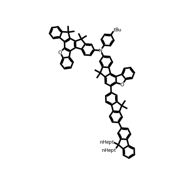 CCCCCCCC1(CCCCCCC)c2ccccc2-c2ccc(-c3ccc4c(c3)C(C)(C)c3cc(-c5cc6c(c7c5oc5ccccc57)-c5ccc(N(c7ccc(C(C)(C)C)cc7)c7ccc8c(c7)C(C)(C)c7c9c(c%10oc%11ccccc%11c%10c7-8)-c7ccccc7C9(C)C)cc5C6(C)C)ccc3-4)cc21